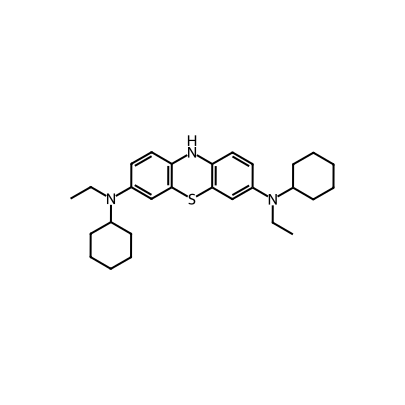 CCN(c1ccc2c(c1)Sc1cc(N(CC)C3CCCCC3)ccc1N2)C1CCCCC1